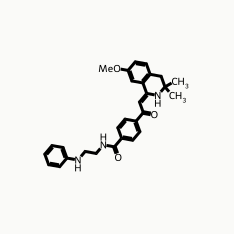 COc1ccc2c(c1)C(=CC(=O)c1ccc(C(=O)NCCNc3ccccc3)cc1)NC(C)(C)C2